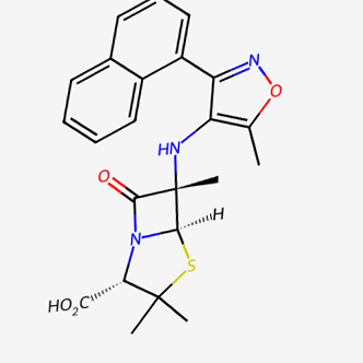 Cc1onc(-c2cccc3ccccc23)c1N[C@@]1(C)C(=O)N2[C@@H](C(=O)O)C(C)(C)S[C@@H]21